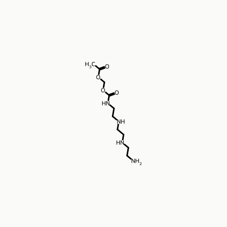 CC(=O)OCOC(=O)NCCNCCNCCN